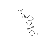 CN(C)CCNC1CCOc2cc(S(=O)(=O)c3cccc(F)c3)ccc21